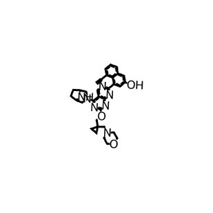 C#Cc1cccc2cc(O)cc(-c3ncc4c(N5CC6CCC(C5)N6)nc(OCC5(CN6CCOCC6)CC5)nc4n3)c12